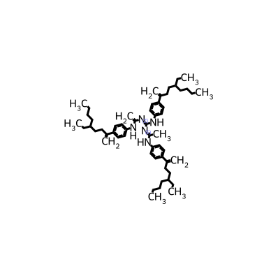 C=C(/N=C(\N=C(/C)Nc1ccc(C(=C)CCC(CC)CCCC)cc1)Nc1ccc(C(=C)CCC(CC)CCCC)cc1)Nc1ccc(C(=C)CCC(CC)CCCC)cc1